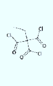 [CH2]CC(C(=O)Cl)(C(=O)Cl)C(=O)Cl